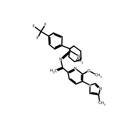 C=C(/N=C1\N(N)C2CCC1(c1ccc(C(F)(F)F)cc1)CC2)c1ccc(-n2cnc(C)c2)c(OC)n1